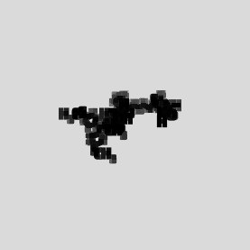 CSc1ccc(C(c2ccc(SC)cc2)C(C)CC(NC(=O)C2CCCN2C(=O)CCCCC2SCC3NC(=O)NC32)P(=O)(O)O)cc1